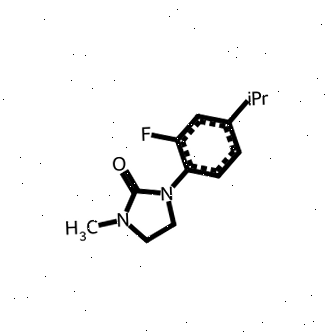 CC(C)c1ccc(N2CCN(C)C2=O)c(F)c1